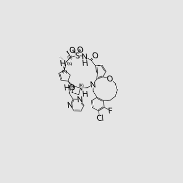 C[C@@H]1[C@@H](C)S(=O)(=O)NC(=O)c2ccc3c(c2)N(Cc2ccc(Cl)c(F)c2CCCCO3)C[C@@H]2CC[C@H]2C2(OCc3ncccn3)C=C[C@H]1C2